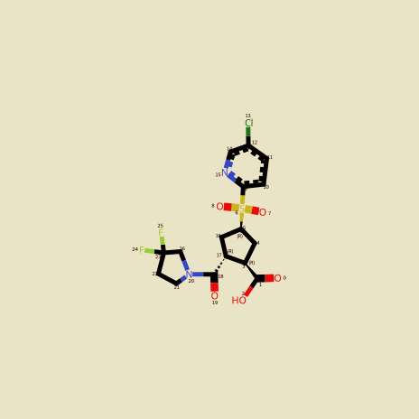 O=C(O)[C@@H]1C[C@H](S(=O)(=O)c2ccc(Cl)cn2)C[C@H]1C(=O)N1CCC(F)(F)C1